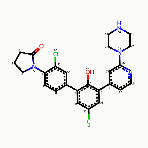 O=C1CCCN1c1ccc(-c2cc(Cl)cc(-c3ccnc(N4CCNCC4)c3)c2O)cc1Cl